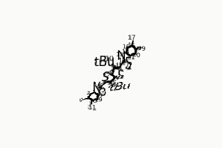 Cc1cc2nc(-c3sc4c(C(C)(C)C)c(-c5nc6cc(C)c(C)cc6s5)sc4c3C(C)(C)C)oc2cc1C